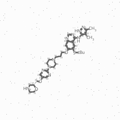 Cc1n[nH]c(Nc2ncnc3cc(OCCCN4CCN(c5ncc(OC[C@H]6CNCCO6)cn5)CC4)c(SC(C)(C)C)cc23)c1C